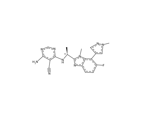 C[C@H](Nc1ncnc(N)c1C#N)c1nc2ccc(F)c(-c3cnn(C)c3)c2n1C